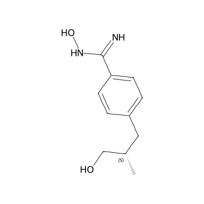 C[C@H](CO)Cc1ccc(C(=N)NO)cc1